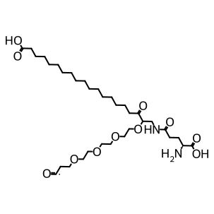 N[C@@H](CCC(=O)NCC(OCCOCCOCCOCC[C]=O)C(=O)CCCCCCCCCCCCCCCCC(=O)O)C(=O)O